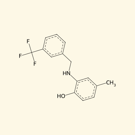 Cc1ccc(O)c(NCc2cccc(C(F)(F)F)c2)c1